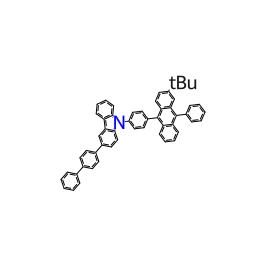 CC(C)(C)c1ccc2c(-c3ccc(-n4c5ccccc5c5cc(-c6ccc(-c7ccccc7)cc6)ccc54)cc3)c3ccccc3c(-c3ccccc3)c2c1